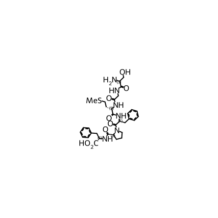 CSCC[C@H](NC(=O)CNC(=O)[C@@H](N)CO)C(=O)N[C@@H](Cc1ccccc1)C(=O)N1CCC[C@H]1C(=O)N[C@@H](Cc1ccccc1)C(=O)O